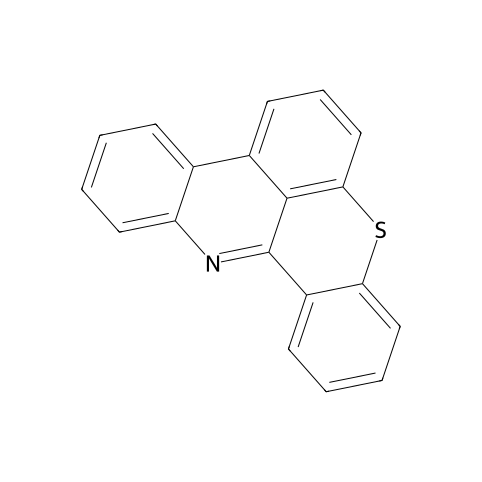 c1ccc2c(c1)Sc1cccc3c1c-2nc1ccccc13